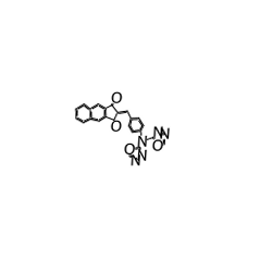 O=C1C(=Cc2ccc(N(c3nnco3)c3nnco3)cc2)C(=O)c2cc3ccccc3cc21